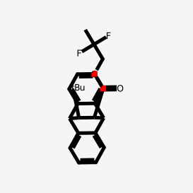 CC(F)(F)COC(=O)C1C2c3ccccc3C(c3ccccc32)C1C(C)(C)C